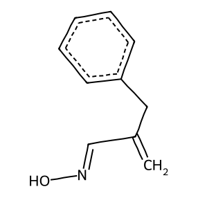 C=C(C=NO)Cc1ccccc1